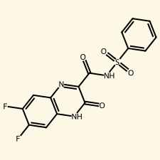 O=C(NS(=O)(=O)c1ccccc1)c1nc2cc(F)c(F)cc2[nH]c1=O